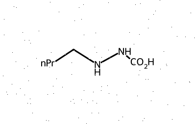 CCCCNNC(=O)O